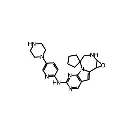 c1cc(Nc2ncc3cc4n(c3n2)C2(CCCC2)CNC2OC42)ncc1N1CCNCC1